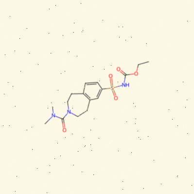 CCOC(=O)NS(=O)(=O)c1ccc2c(c1)CCN(C(=O)N(C)C)CC2